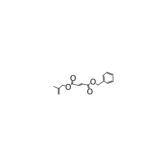 C=C(C)COC(=O)C=CC(=O)OCc1ccccc1